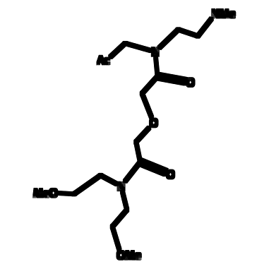 CNCCN(CC(C)=O)C(=O)COCC(=O)N(CCOC)CCOC